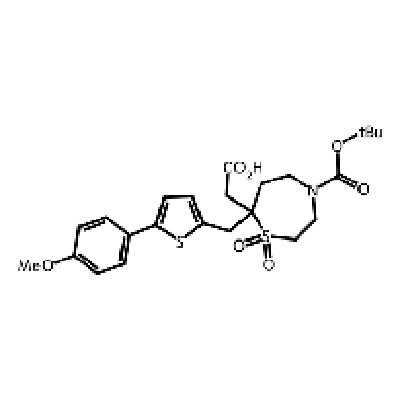 COc1ccc(-c2ccc(CC3(CC(=O)O)CCN(C(=O)OC(C)(C)C)CCS3(=O)=O)s2)cc1